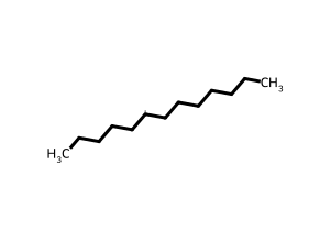 CCCCC[CH]CCCCCCC